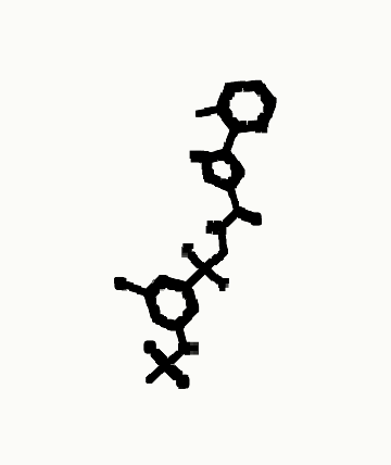 Cc1cccnc1-c1cc(C(=O)NCC(F)(F)c2cc(Cl)cc(NS(C)(=O)=O)c2)c[nH]1